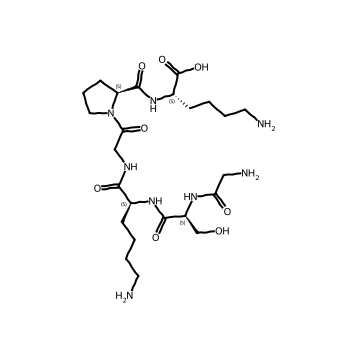 NCCCC[C@H](NC(=O)[C@@H]1CCCN1C(=O)CNC(=O)[C@H](CCCCN)NC(=O)[C@H](CO)NC(=O)CN)C(=O)O